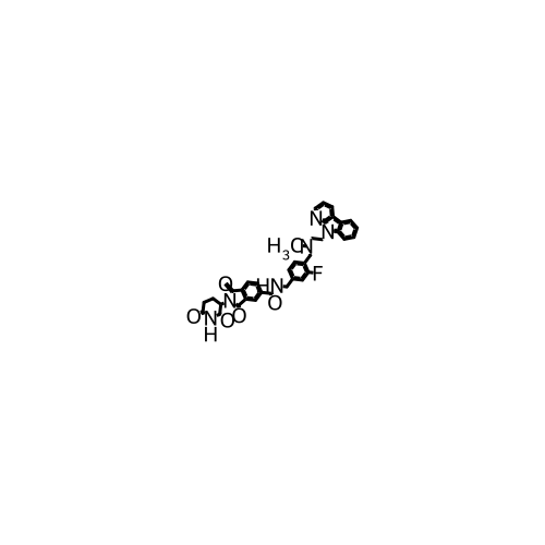 CN(CCn1c2ccccc2c2cccnc21)Cc1ccc(CNC(=O)c2ccc3c(c2)C(=O)N(C2CCC(=O)NC2=O)C3=O)cc1F